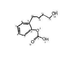 O=C(O)Oc1ccccc1CCCCO